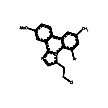 COc1ccc2c(c1)c1ncc(CCCl)n1c1c(Br)cc(C)cc21